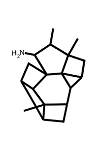 CC1C(N)C23CC4C5CC(C6C7CC1(C)C762)C5(C)C43